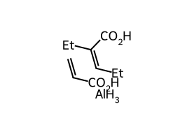 C=CC(=O)O.CCC=C(CC)C(=O)O.[AlH3]